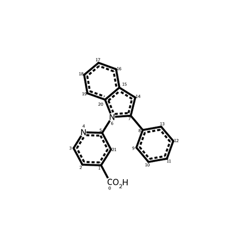 O=C(O)c1ccnc(-n2c(-c3ccccc3)cc3ccccc32)c1